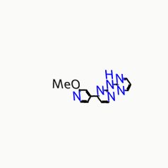 COc1cc(-c2ccnc(Nc3ncccn3)n2)ccn1